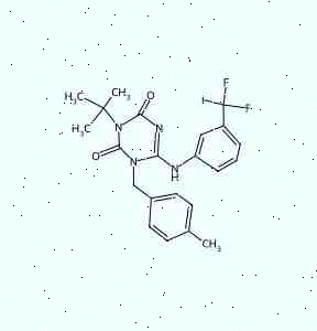 Cc1ccc(Cn2c(Nc3cccc(C(F)(F)I)c3)nc(=O)n(C(C)(C)C)c2=O)cc1